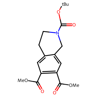 COC(=O)c1cc2c(cc1C(=O)OC)CN(C(=O)OC(C)(C)C)CC2